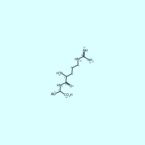 CCC(C)C(NC(=O)C(N)CCCNC(=N)N)C(=O)O